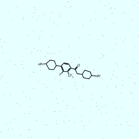 CCCC1CCC(CC(=O)c2ccc(C3CCC(CCC)CC3)c(F)c2C(F)(F)F)CC1